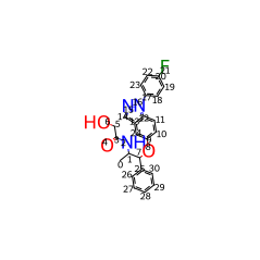 CC(NC(=O)CO)C(Oc1ccc2c(cnn2-c2ccc(F)cc2)c1)c1ccccc1